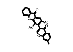 CC(=O)c1cc2c(=O)c3ccccc3oc2c(C(C)=O)c1-c1coc2cc(C)ccc2c1=O